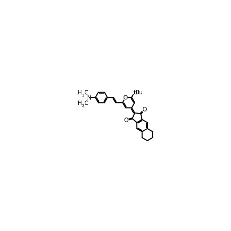 CN(C)c1ccc(C=CC2=CC(=C3C(=O)c4cc5c(cc4C3=O)CCCC5)C=C(C(C)(C)C)O2)cc1